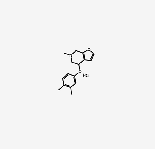 Cc1ccc(OC2CN(C)Cc3occc32)cc1C.Cl